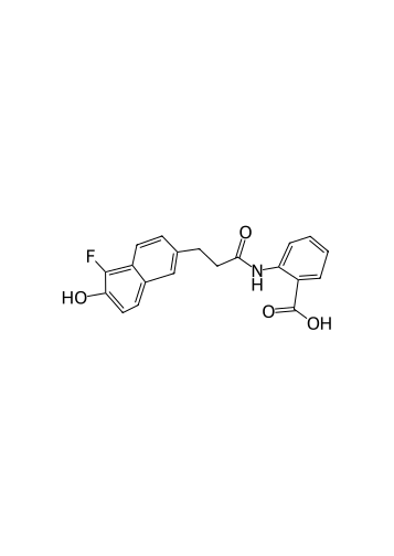 O=C(CCc1ccc2c(F)c(O)ccc2c1)Nc1ccccc1C(=O)O